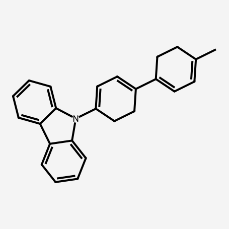 CC1=CC=C(C2=CC=C(n3c4ccccc4c4ccccc43)CC2)CC1